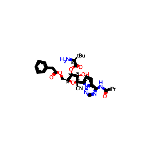 CC(C)C(=O)Nc1ncnn2c([C@]3(C#N)O[C@H](COC(=O)Cc4ccccc4)[C@@H](OC(=O)[C@@H](N)C(C)(C)C)[C@H]3O)ccc12